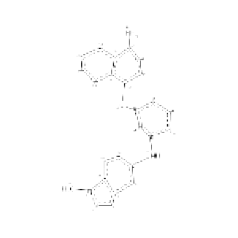 Cn1ncc2cc(Nc3nccc(Oc4ccc(N)c5ccccc45)n3)ccc21